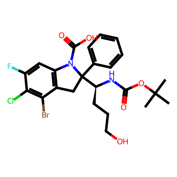 CC(C)(C)OC(=O)N[C@@H](CCCO)C1(c2ccccc2)Cc2c(cc(F)c(Cl)c2Br)N1C(=O)O